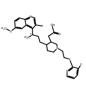 COc1ccc2ncc(F)c([C@H](N)CCC3CCN(CCSc4ncccc4F)CC3CC(=O)O)c2c1